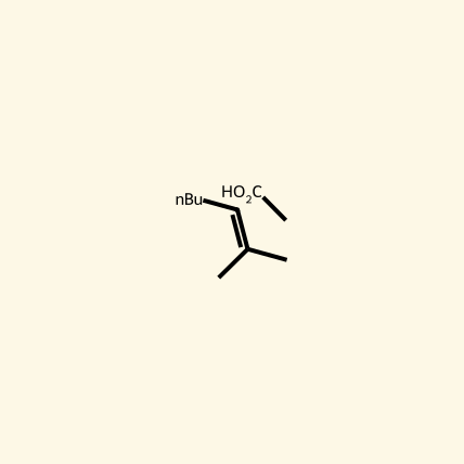 CC(=O)O.CCCCC=C(C)C